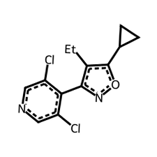 CCc1c(-c2c(Cl)cncc2Cl)noc1C1CC1